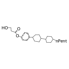 CCCCCC1CCC(C2CCC(c3ccc(OC(=O)CCO)cc3)CC2)CC1